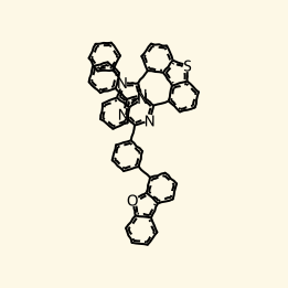 c1ccc(-c2nc(-c3cccc(-c4cccc5c4oc4ccccc45)c3)nc(-c3cccc4sc5cccc(-c6nc7ccccc7n6-c6ccccc6)c5c34)n2)cc1